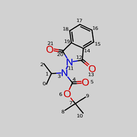 CC(C)N(C(=O)OC(C)(C)C)N1C(=O)c2ccccc2C1=O